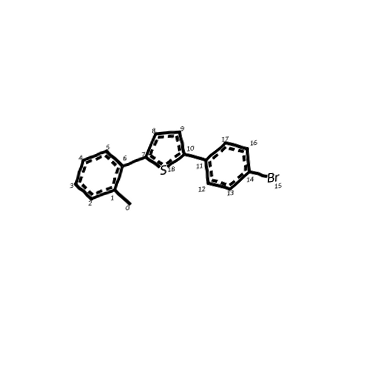 Cc1ccccc1-c1ccc(-c2ccc(Br)cc2)s1